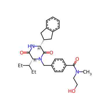 CCC(CC)[C@@H]1C(=O)N[C@H](C2Cc3ccccc3C2)C(=O)N1Cc1ccc(C(=O)N(C)CCO)cc1